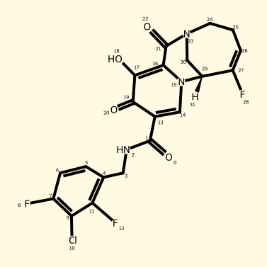 O=C(NCc1ccc(F)c(Cl)c1F)c1cn2c(c(O)c1=O)C(=O)N1CCC=C(F)[C@H]2C1